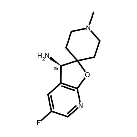 CN1CCC2(CC1)Oc1ncc(F)cc1[C@H]2N